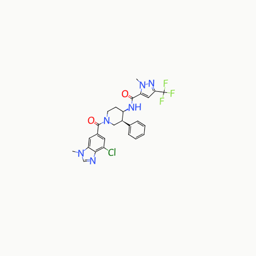 Cn1nc(C(F)(F)F)cc1C(=O)N[C@@H]1CCN(C(=O)c2cc(Cl)c3ncn(C)c3c2)C[C@@H]1c1ccccc1